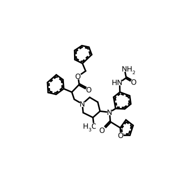 CC1CN(CC(C(=O)OCc2ccccc2)c2ccccc2)CCC1N(C(=O)c1ccco1)c1cccc(NC(N)=O)c1